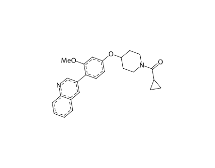 COc1cc(OC2CCN(C(=O)C3CC3)CC2)ccc1-c1cnc2ccccc2c1